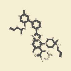 C=CCOC1(C)CCN(c2c(C(OC(C)(C)C)C(=O)OC)c(C)cc3nc(-c4cccc(-c5cc(C)ccc5OC(C)CC=C)c4)cn23)CC1